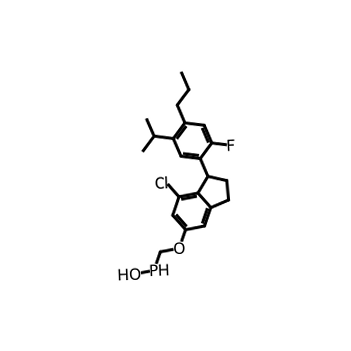 CCCc1cc(F)c(C2CCc3cc(OCPO)cc(Cl)c32)cc1C(C)C